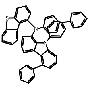 c1ccc(-c2ccc(N(c3cccc4sc5ccccc5c34)c3cccc4c5c(-c6ccccc6)cccc5n(-c5ccccc5)c34)cc2)cc1